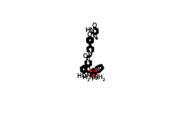 CN(c1cccc(C2CCN(CC(=O)N3CCC(Oc4cc(F)cc(N5C6CCC5CN(C(/C=C(\N)c5ccccc5O)=C(N)N)C6)c4)CC3)CC2)c1)C1CCC(=O)NC1=O